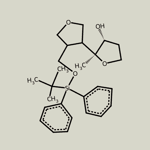 CC(C)(C)[Si](OCC1COCC1[C@]1(C)OCC[C@H]1O)(c1ccccc1)c1ccccc1